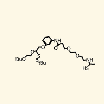 CC(C)COCCOC(COc1cccc(NC(=O)CCOCCOCCNC(C)S)c1)SSC(C)(C)C